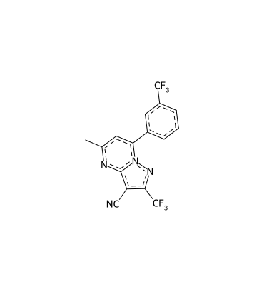 Cc1cc(-c2cccc(C(F)(F)F)c2)n2nc(C(F)(F)F)c(C#N)c2n1